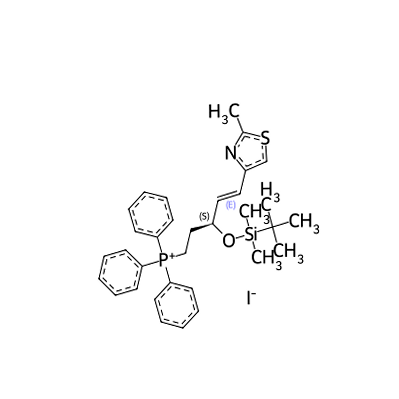 Cc1nc(/C=C/[C@H](CC[P+](c2ccccc2)(c2ccccc2)c2ccccc2)O[Si](C)(C)C(C)(C)C)cs1.[I-]